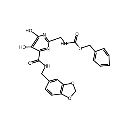 O=C(NCc1nc(O)c(O)c(C(=O)NCc2ccc3c(c2)OCO3)n1)OCc1ccccc1